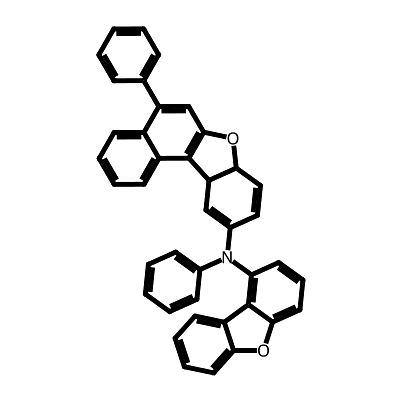 C1=CC2Oc3cc(-c4ccccc4)c4ccccc4c3C2C=C1N(c1ccccc1)c1cccc2oc3ccccc3c12